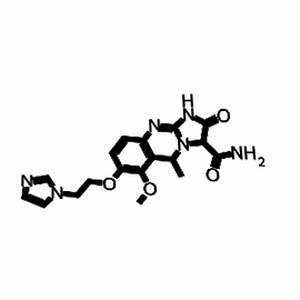 COc1c(OCCn2ccnc2)ccc2c1C(C)N1C(=N2)NC(=O)C1C(N)=O